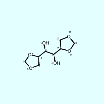 O[C@@H]([C@H](O)[C@H]1COCO1)[C@H]1COCO1